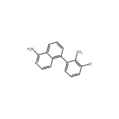 Cc1c(Cl)cccc1-c1cccc2c(N)nccc12